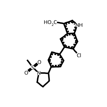 CS(=O)(=O)N1CCCC1c1ccc(-c2cc3c(C(=O)O)c[nH]c3cc2Cl)cc1